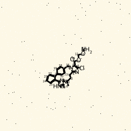 CCCCc1nc(Cl)c(C(=O)OCON)n1Cc1ccc(-c2ccccc2-c2nnn[nH]2)cc1